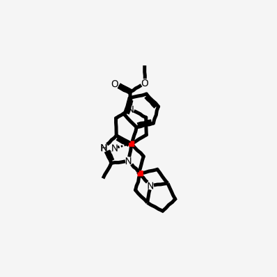 COC(=O)N1CCc2c(nc(C)n2C2CC3CCC(C2)N3CC[C@H](N)c2ccccc2)C1